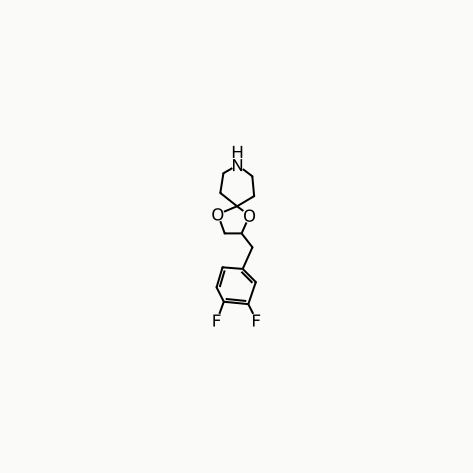 Fc1ccc(CC2COC3(CCNCC3)O2)cc1F